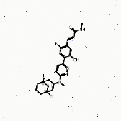 CNC(=O)/C=C/c1cc(O)c(-c2ccc(N(C)C3C[C@H]4CCC[C@@H](C3)N4)nn2)cc1F